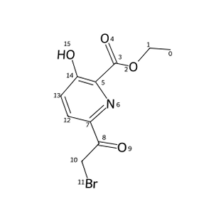 CCOC(=O)c1nc(C(=O)CBr)ccc1O